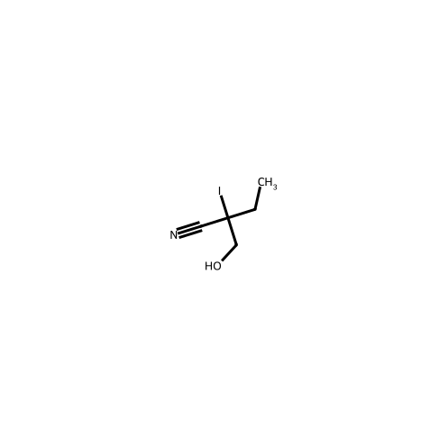 CCC(I)(C#N)CO